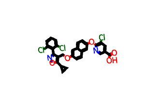 O=C(O)c1cnc(Oc2ccc3cc(OCc4c(-c5c(Cl)cccc5Cl)noc4C4CC4)ccc3c2)c(Cl)c1